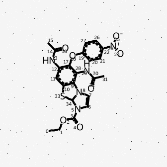 CCOC(=O)N1C=CN2c3c(cc(NC(C)=O)c(Oc4ccc([N+](=O)[O-])cc4)c3NC(C)=O)SC12